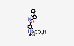 CC[C@H](C)[C@H](NCc1cccc(-c2nnc(-c3cccc(-c4ccccc4)c3C)o2)c1)C(=O)O